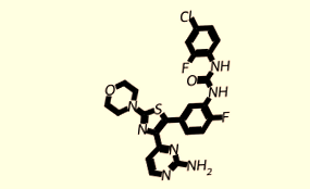 Nc1nccc(-c2nc(N3CCOCC3)sc2-c2ccc(F)c(NC(=O)Nc3ccc(Cl)cc3F)c2)n1